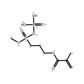 C=C(C)C(=O)OCCCP(=O)(OC)OP(=O)(O)O